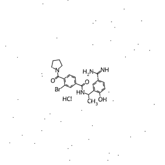 CC(NC(=O)c1ccc(C(=O)N2CCCC2)c(Br)c1)c1cc(C(=N)N)ccc1O.Cl